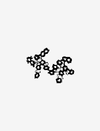 Cc1cc2c(cc1N1B3c4c(cc5oc6cc(-c7cccc8sc9c(N%10B%11c%12c(cc%13c(oc%14ccccc%14%13)c%12-c%12cc%13c(cc%12%10)Sc%10ccccc%10S%13)-n%10c%12c%11cccc%12c%11ccc%12ccccc%12c%11%10)cccc9c78)ccc6c5c4-c4cc5c(cc41)Sc1ccccc1S5)-n1c4cc5ccccc5cc4c4cccc3c41)C(C)(C)CCC2(C)C